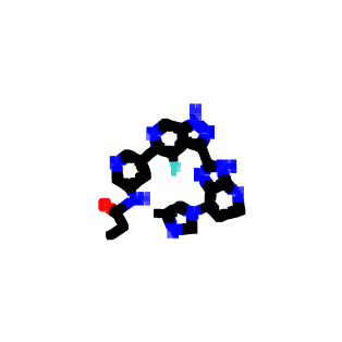 CCC(=O)Nc1cncc(-c2ncc3[nH]nc(-c4nc5c(-n6cnc(C)c6)ccnc5[nH]4)c3c2F)c1